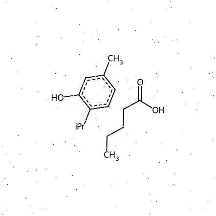 CCCCC(=O)O.Cc1ccc(C(C)C)c(O)c1